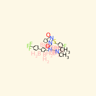 Bc1c(B)c(-c2ccc(C(F)(F)F)cc2)c(B)c(B)c1CN(C(=O)Cn1c(SCc2ccc(F)cc2)nc(=O)c2c1CCC2)C(B)(B)C(B)(B)N(CC)CC